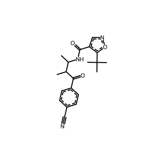 CC(NC(=O)c1cnoc1C(C)(C)C)C(C)C(=O)c1ccc(C#N)cc1